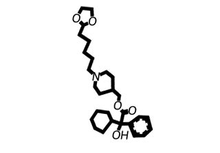 O=C(OCC1CCN(CCCCCC2OCCO2)CC1)C(O)(c1ccccc1)C1CCCCC1